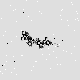 CCOP(=O)(CN(CCCOc1cc2nccc(Oc3ccc(N)cc3F)c2cc1OC)Cc1ccccc1)OCC